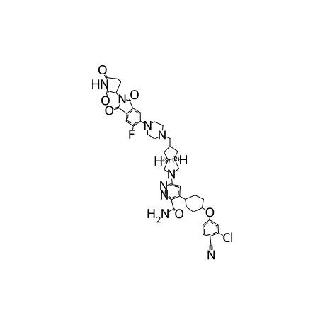 N#Cc1ccc(OC2CCC(c3cc(N4C[C@H]5CC(CN6CCN(c7cc8c(cc7F)C(=O)N(C7CCC(=O)NC7=O)C8=O)CC6)C[C@H]5C4)nnc3C(N)=O)CC2)cc1Cl